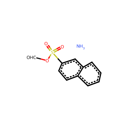 N.O=COS(=O)(=O)c1ccc2ccccc2c1